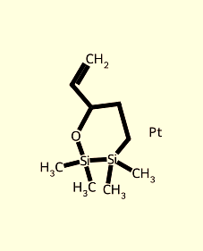 C=CC1CC[Si](C)(C)[Si](C)(C)O1.[Pt]